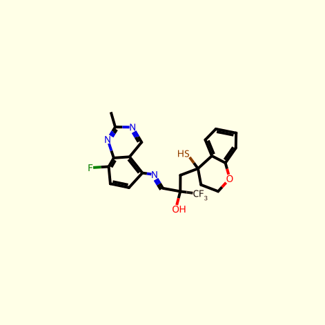 Cc1ncc2c(N=CC(O)(CC3(S)CCOc4ccccc43)C(F)(F)F)ccc(F)c2n1